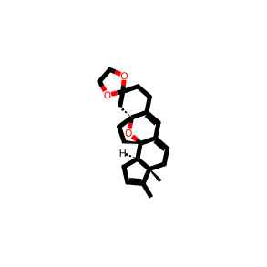 CC1=CC[C@@H]2[C@]1(C)CC=C1C=C3CCC4(C[C@]35CC[C@@]12O5)OCCO4